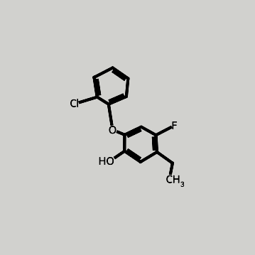 CCc1cc(O)c(Oc2ccccc2Cl)cc1F